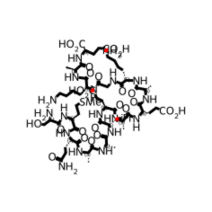 CSCC[C@H](NC(=O)[C@@H](N)CO)C(=O)N[C@@H](CCC(N)=O)C(=O)N[C@@H](C)C(=O)N[C@@H](C)C(=O)N[C@@H](CC(C)C)C(=O)N[C@@H](CCC(=O)O)C(=O)N[C@@H](C)C(=O)N[C@@H](CCC(=O)O)C(=O)N[C@@H](C)C(=O)N[C@@H](CCCCN)C(=O)NCC(=O)N[C@@H](CCCCN)C(=O)N[C@@H](C)C(=O)N[C@@H](CCC(=O)O)C(=O)O